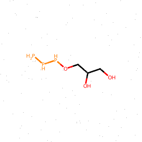 OCC(O)COPPP